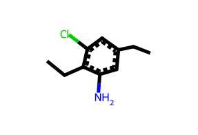 CCc1cc(N)c(CC)c(Cl)c1